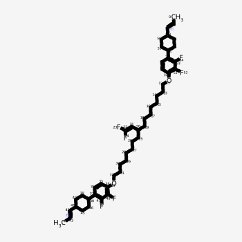 C/C=C/C1CCC(c2ccc(OCCCCCCCCC(C=C(F)F)CCCCCCCCOc3ccc(C4CCC(/C=C/C)CC4)c(F)c3F)c(F)c2F)CC1